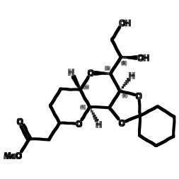 COC(=O)CC1CC[C@@H]2O[C@@H]([C@H](O)CO)[C@H]3OC4(CCCCC4)OC3[C@H]2O1